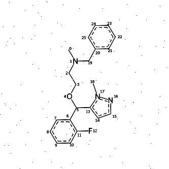 CN(CCOC(c1ccccc1F)c1ccnn1C)Cc1ccccc1